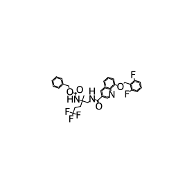 CC(CCC(F)(F)F)(CNC(=O)c1cnc2c(OCc3c(F)cccc3F)cccc2c1)NC(=O)OCc1ccccc1